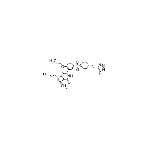 CCCOc1ccc(S(=O)(=O)N2CCC(CCc3nnn[nH]3)CC2)cc1-c1nc2c(CCC)cn(C)c2c(=O)[nH]1